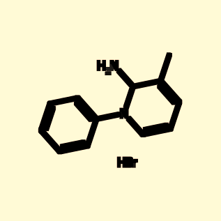 Br.CC1=CC=CN(c2ccccc2)C1N